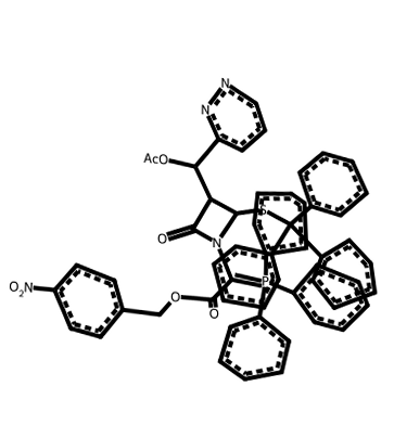 CC(=O)OC(c1cccnn1)C1C(=O)N(C(C(=O)OCc2ccc([N+](=O)[O-])cc2)=P(c2ccccc2)(c2ccccc2)c2ccccc2)C1SC(c1ccccc1)(c1ccccc1)c1ccccc1